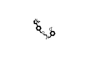 COc1cccc(CN(C)CCOCc2ccc(-c3ccnn3C)cc2)c1